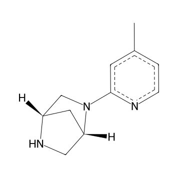 Cc1ccnc(N2C[C@@H]3C[C@H]2CN3)c1